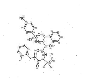 Cc1ccccc1CNC(=O)C1N(C(=O)C(O)C(Cc2ccccc2)NS(=O)(=O)c2ccc(C#N)cc2)CSC1(C)C